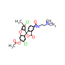 CC(=O)Oc1cc2c(cc1Cl)C1(OC(=O)c3cc(C(=O)NCCN(C)C)ccc31)c1cc(Cl)c(C)cc1O2